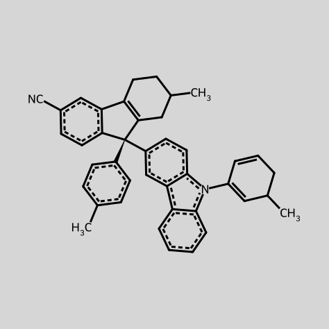 Cc1ccc([C@]2(c3ccc4c(c3)c3ccccc3n4C3=CC(C)CC=C3)C3=C(CCC(C)C3)c3cc(C#N)ccc32)cc1